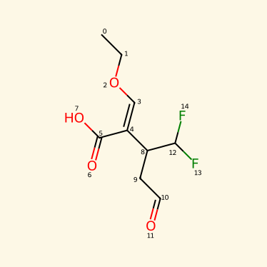 CCO/C=C(\C(=O)O)C(CC=O)C(F)F